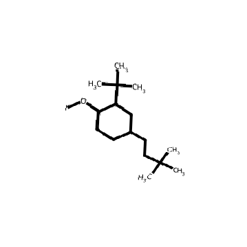 CC(C)(C)CCC1CCC(OI)C(C(C)(C)C)C1